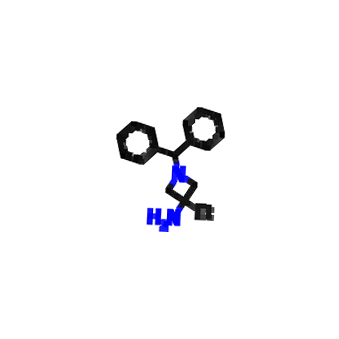 CCC1(N)CN(C(c2ccccc2)c2ccccc2)C1